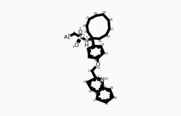 CC(=O)CS(=O)(=O)NC1(c2ccc(OCc3ccc4ccccc4n3)cc2)CCCCCCCCC1